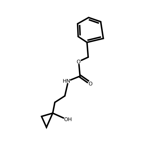 O=C(NCCC1(O)CC1)OCc1ccccc1